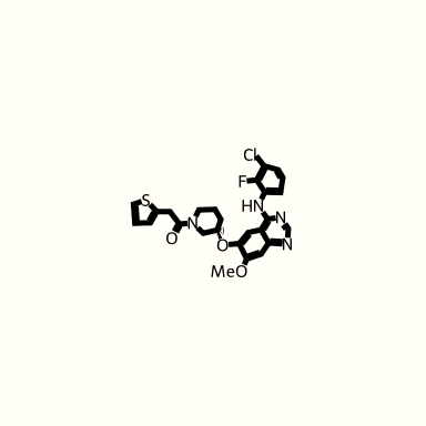 COc1cc2ncnc(Nc3cccc(Cl)c3F)c2cc1O[C@@H]1CCCN(C(=O)Cc2cccs2)C1